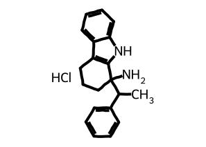 CC(c1ccccc1)C1(N)CCCc2c1[nH]c1ccccc21.Cl